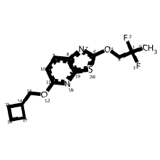 CC(F)(F)COc1nc2ccc(OCC3CCC3)nc2s1